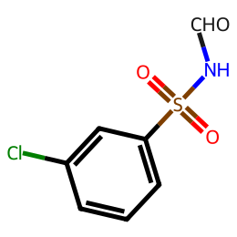 O=CNS(=O)(=O)c1cccc(Cl)c1